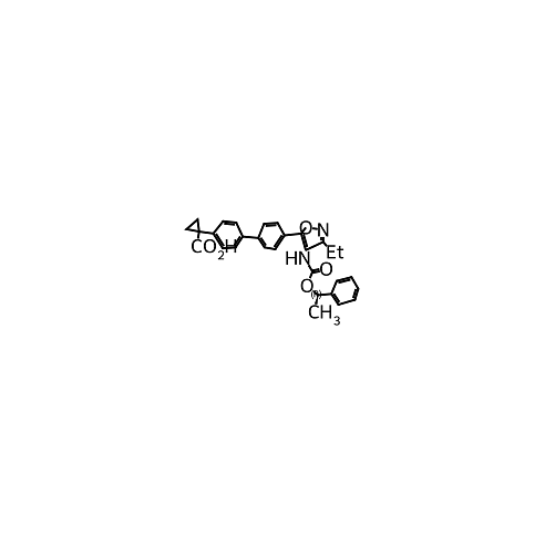 CCc1noc(-c2ccc(-c3ccc(C4(C(=O)O)CC4)cc3)cc2)c1NC(=O)O[C@H](C)c1ccccc1